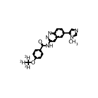 [2H]C([2H])([2H])Oc1ccc(C(=O)Nc2cc3cc(-c4cncn4C)ccc3nn2)cc1